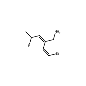 CC/C=C\C(=C/C(C)F)CN